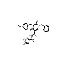 COc1ccc(C[C@H](NC(=O)[C@H](C)NC(=O)c2cc(C)on2)C(=O)OCc2ccccc2)cc1